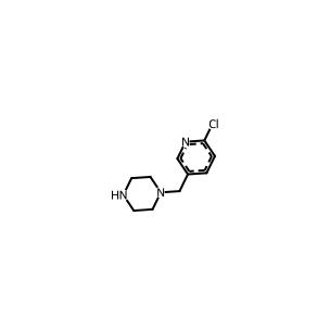 Clc1ccc(CN2CCNCC2)cn1